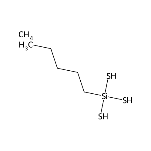 C.CCCCC[Si](S)(S)S